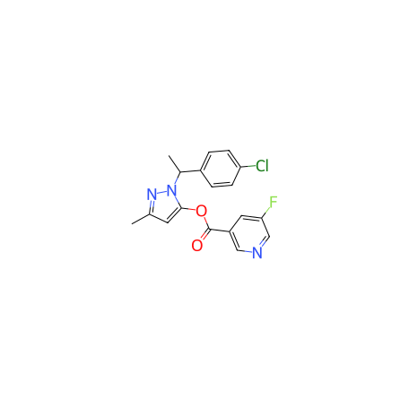 Cc1cc(OC(=O)c2cncc(F)c2)n(C(C)c2ccc(Cl)cc2)n1